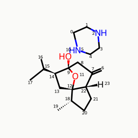 C1CNCCN1.C=C1C[C@]2(O)O[C@@]3(C[C@H]2C(C)C)[C@@H](C)CC[C@@H]13